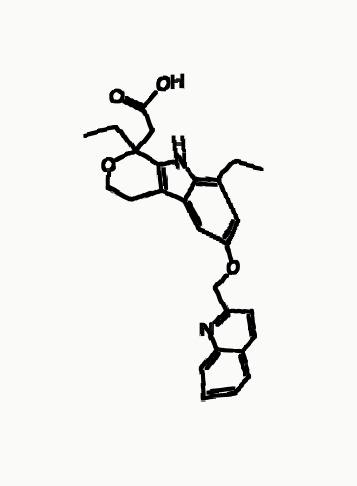 CCc1cc(OCc2ccc3ccccc3n2)cc2c3c([nH]c12)C(CC)(CC(=O)O)OCC3